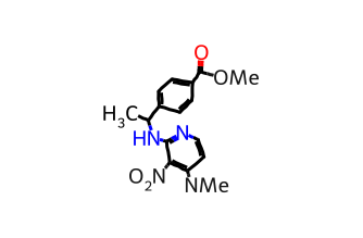 CNc1ccnc(NC(C)c2ccc(C(=O)OC)cc2)c1[N+](=O)[O-]